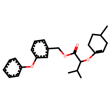 CC1CC=C(OC(C(=O)OCc2cccc(Oc3ccccc3)c2)C(C)C)CC1